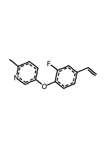 C=Cc1ccc(Oc2ccc(C)nc2)c(F)c1